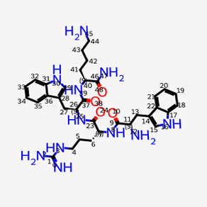 N=C(N)NCCC[C@@H](NC(=O)[C@@H](N)Cc1c[nH]c2ccccc12)C(=O)N[C@@H](Cc1c[nH]c2ccccc12)C(=O)N[C@@H](CCCCN)C(N)=O